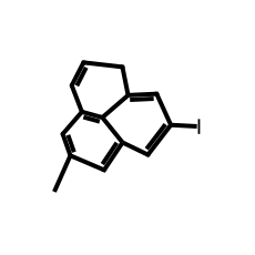 Cc1cc2c3c(cc(I)cc3c1)CC=C2